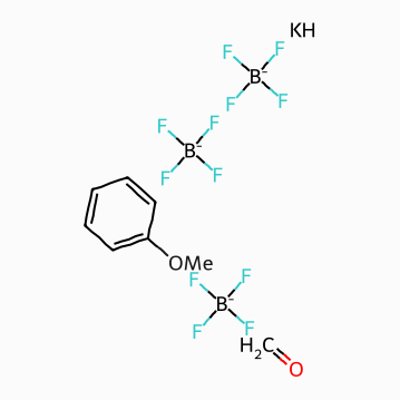 C=O.COc1ccccc1.F[B-](F)(F)F.F[B-](F)(F)F.F[B-](F)(F)F.[KH]